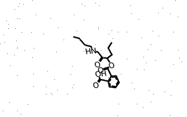 CCCCNCC(=O)C(CCC)OC(=O)c1ccccc1C(=O)O